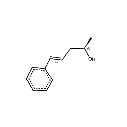 C[C@@H](O)C/C=C/c1ccccc1